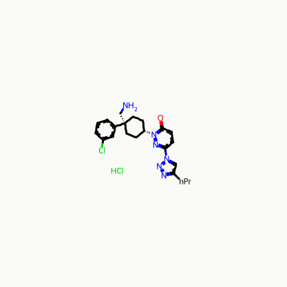 CCCc1cn(-c2ccc(=O)n([C@H]3CC[C@](CN)(c4cccc(Cl)c4)CC3)n2)nn1.Cl